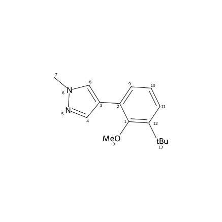 COc1c(-c2cnn(C)c2)cccc1C(C)(C)C